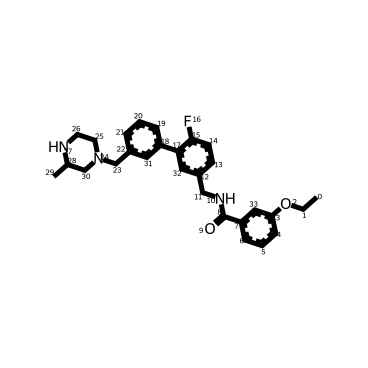 CCOc1cccc(C(=O)NCc2ccc(F)c(-c3cccc(CN4CCNC(C)C4)c3)c2)c1